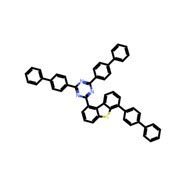 c1ccc(-c2ccc(-c3nc(-c4ccc(-c5ccccc5)cc4)nc(-c4cccc5sc6c(-c7ccc(-c8ccccc8)cc7)cccc6c45)n3)cc2)cc1